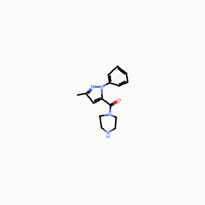 Cc1cc(C(=O)N2CCNCC2)n(-c2ccccc2)n1